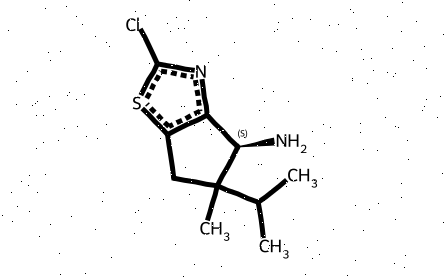 CC(C)C1(C)Cc2sc(Cl)nc2[C@H]1N